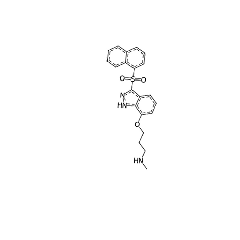 CNCCCOc1cccc2c(S(=O)(=O)c3cccc4ccccc34)n[nH]c12